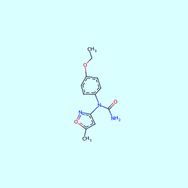 CCOc1ccc(N(C(N)=O)c2cc(C)on2)cc1